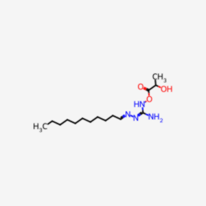 CCCCCCCCCCC=NN=C(N)NOC(=O)C(C)O